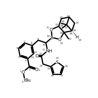 CC(C)(C)OC(=O)c1cccc(CC(NC(=O)Cc2cccs2)B2OC3CC4C[C@H](C4(C)C)C3(C)O2)c1